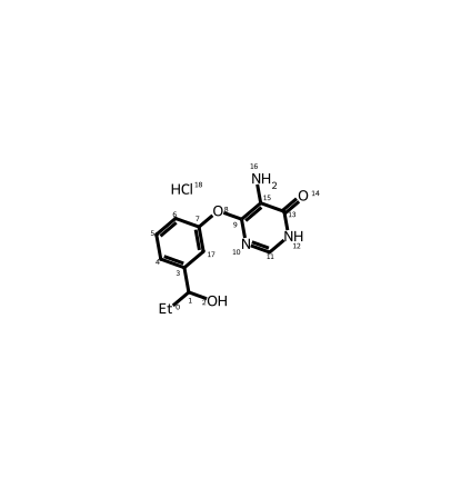 CCC(O)c1cccc(Oc2nc[nH]c(=O)c2N)c1.Cl